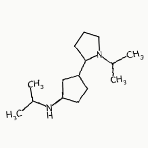 CC(C)NC1CCC(C2CCCN2C(C)C)C1